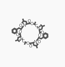 CC(C)CC1C(=O)OC(Cc2ccccc2)C(=O)N(C)C(CC(C)C)C(=O)OC(C)CN(C)C(CC(C)C)C(=O)OC(Cc2ccccc2)C(=O)N(C)C(CC(C)C)C(=O)OC(C)CN1C